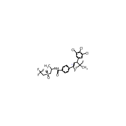 CC(CS(=O)(=O)CC(F)(F)F)NC(=O)c1ccc(/C(F)=C/C(c2cc(Cl)c(Cl)c(Cl)c2)C(C)(F)F)cc1